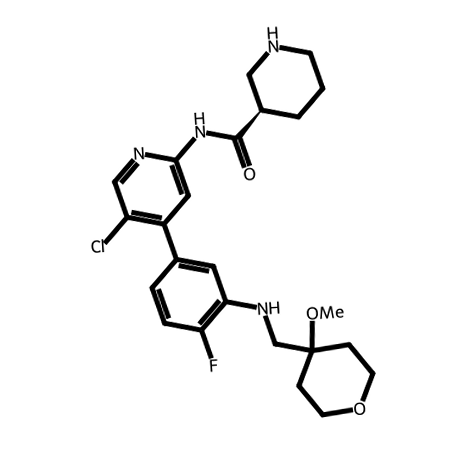 COC1(CNc2cc(-c3cc(NC(=O)[C@@H]4CCCNC4)ncc3Cl)ccc2F)CCOCC1